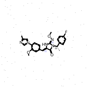 CO/N=C1\N/C(=C\c2ccc(-n3cnc(C)c3)c(OC)c2)C(=O)N1[C@@H](C)c1ccc(F)cc1